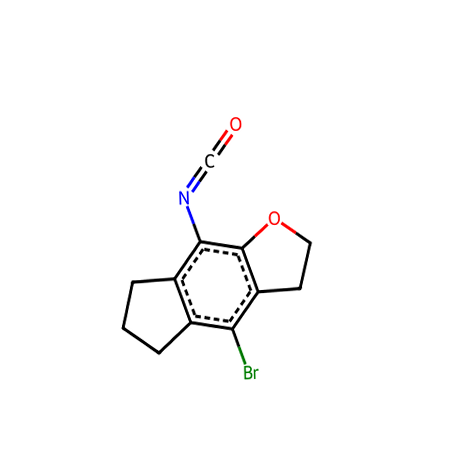 O=C=Nc1c2c(c(Br)c3c1OCC3)CCC2